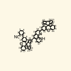 N#Cc1ccccc1-c1ccc2c(c1)Oc1ccccc1C21c2ccccc2-c2cc(-c3cc4ccc(-c5ccc6c(c5)Oc5ccccc5C65c6ccccc6-c6ccccc65)nc4c4c3C=CCN4)ccc21